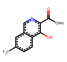 COC(=O)c1ncc2cc(C(F)(F)F)ccc2c1O